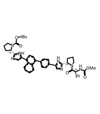 COC(=O)N[C@H](C(=O)N1CCC[C@H]1c1ncc(-c2ccc(-c3ccc(-c4cnc([C@@H]5CCCN5C(=O)OC(C)(C)C)[nH]4)c4ccccc34)cc2)[nH]1)C(C)C